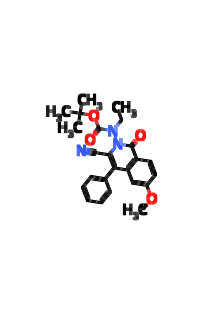 CCN(C(=O)OC(C)(C)C)n1c(C#N)c(-c2ccccc2)c2cc(OC)ccc2c1=O